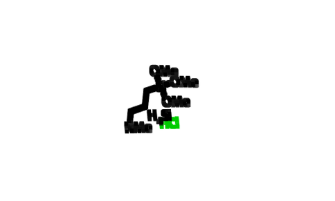 CNCCC[Si](OC)(OC)OC.Cl.[SiH4]